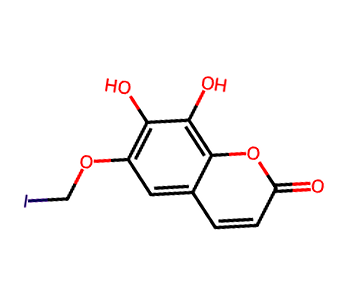 O=c1ccc2cc(OCI)c(O)c(O)c2o1